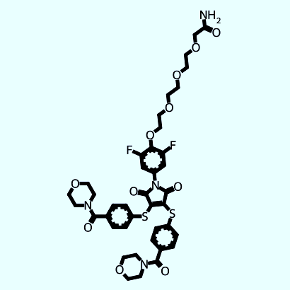 NC(=O)COCCOCCOCCOc1c(F)cc(N2C(=O)C(Sc3ccc(C(=O)N4CCOCC4)cc3)=C(Sc3ccc(C(=O)N4CCOCC4)cc3)C2=O)cc1F